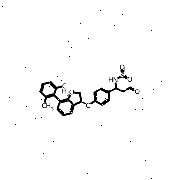 Cc1cccc(C)c1-c1cccc2c1OC[C@H]2Oc1ccc(C(CC=O)N[SH](=O)=O)cc1